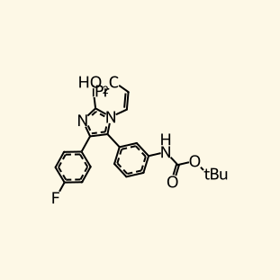 CC(C)c1nc(-c2ccc(F)cc2)c(-c2cccc(NC(=O)OC(C)(C)C)c2)n1/C=C\C(=O)O